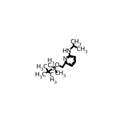 CC(C)Nc1cccc(CO[Si](C)(C)C(C)(C)C)n1